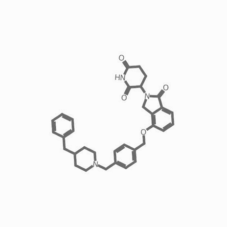 O=C1CCC(N2Cc3c(OCc4ccc(CN5CCC(Cc6ccccc6)CC5)cc4)cccc3C2=O)C(=O)N1